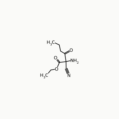 CCCC(=O)C(N)(C#N)C(=O)OCC